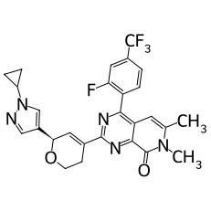 Cc1cc2c(-c3ccc(C(F)(F)F)cc3F)nc(C3=C[C@H](c4cnn(C5CC5)c4)OCC3)nc2c(=O)n1C